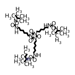 CCC(C)/C(=N\OC(=O)NCCCCCCn1c(=O)n(CCCCCCNC(=O)ON=C(C(C)C)C(C)C)c(=O)n(CCCCCCNC(=O)ON=C(C(C)C)C(C)C)c1=O)C(C)C